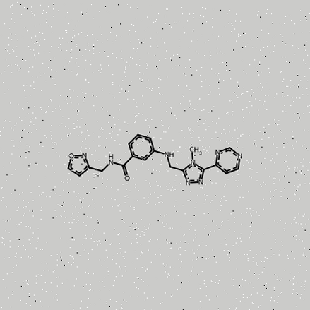 Cn1c(CNc2cccc(C(=O)NCc3ccon3)c2)nnc1-c1ccncn1